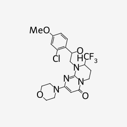 COc1ccc(C(O)CN2c3nc(N4CCOCC4)cc(=O)n3CCC2C(F)(F)F)c(Cl)c1